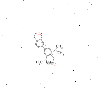 CC(C)c1cc(-c2ccc3c(c2)COCC3)cc(C(C)C)c1CC(=O)Cl